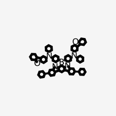 c1ccc(-c2ccc3c4cc5c6ccc(-c7ccccc7)cc6n6c5c5c4n(c3c2)-c2cc(N(c3ccccc3)c3ccc4oc7ccccc7c4c3)ccc2B5c2ccc(N(c3ccccc3)c3ccc4oc5ccccc5c4c3)cc2-6)cc1